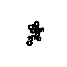 CN(Cc1ccccc1)Cc1c2c(=O)n(-c3ccccc3Cl)[nH]c2cc(=O)n1C